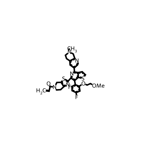 C=CC(=O)N1CCc2nc(-c3nc(-c4cnc5c(c4)CCN(C)C5)c4ccsc4c3-c3c(F)cc(F)cc3OCCOC)sc2C1